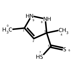 CC1=CC(C)(C(=S)S)NN1